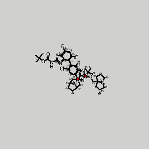 CC(C)(C)OC(=O)Nc1nc2c(-c3c(Cl)cc4c(N5C6CCC5CN(C(=O)OC(C)(C)C)C6)nc(OC[C@@]56CCCN5C[C@H](F)C6)nc4c3F)c(F)cc(F)c2s1